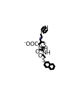 O=C(CSc1ccc2ccccc2c1)N[C@@H]1C(=O)N2C(C(=O)[O-])=C(/C=C/C[N+]34CCN(CC3)CC4)CS[C@H]12